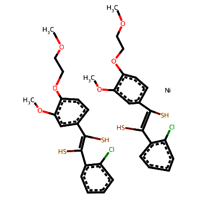 COCCOc1ccc(C(S)=C(S)c2ccccc2Cl)cc1OC.COCCOc1ccc(C(S)=C(S)c2ccccc2Cl)cc1OC.[Ni]